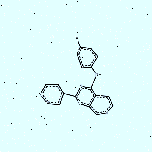 Fc1ccc(Nc2nc(-c3ccncc3)nc3cnccc23)cc1